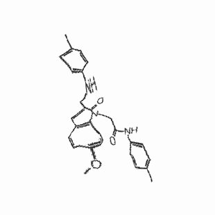 COc1ccc2cc(CNc3ccc(C)cc3)c(=O)n(CC(=O)Nc3ccc(C)cc3)c2c1